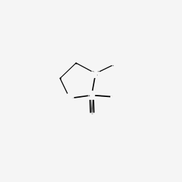 CCN1CCOP1(=O)CC